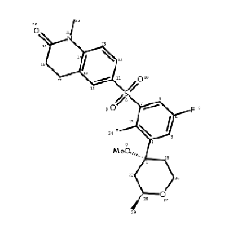 CO[C@]1(c2cc(F)cc(S(=O)(=O)c3ccc4c(c3)CCC(=O)N4C)c2F)CCO[C@@H](C)C1